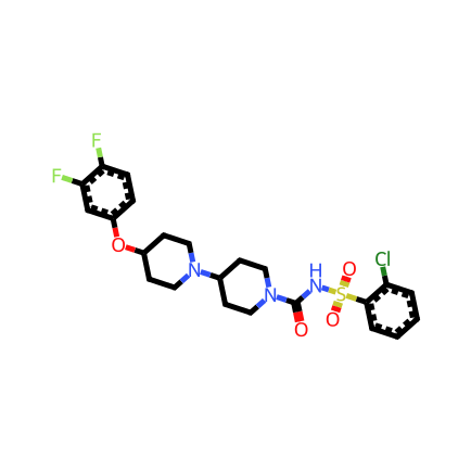 O=C(NS(=O)(=O)c1ccccc1Cl)N1CCC(N2CCC(Oc3ccc(F)c(F)c3)CC2)CC1